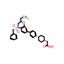 CCC1CN(S(=O)(=O)Cc2ccccc2)c2ccc(-c3ccc([C@H]4CC[C@H](CC(=O)O)CC4)cc3)cc2O1